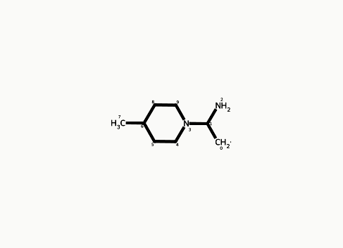 [CH2]C(N)N1CCC(C)CC1